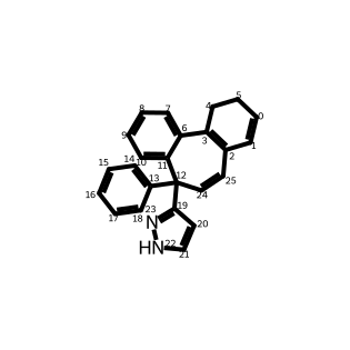 C1=CC2=C(CC1)c1ccccc1C(c1ccccc1)(c1cc[nH]n1)C=C2